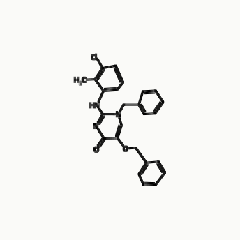 Cc1c(Cl)cccc1Nc1nc(=O)c(OCc2ccccc2)cn1Cc1ccccc1